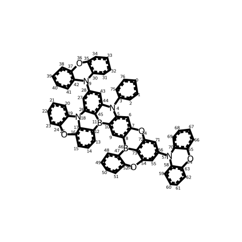 c1ccc(N2c3cc4c(cc3B3c5cccc6c5N(c5ccccc5O6)c5cc(N6c7ccccc7Oc7ccccc76)cc2c53)B2c3ccccc3Oc3cc(N5c6ccccc6Oc6ccccc65)cc(c32)O4)cc1